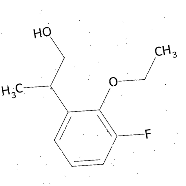 CCOc1c(F)cccc1[C](C)CO